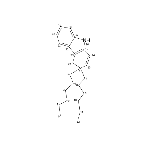 CCCCCCC1(CCCCCC)C=Cc2[nH]c3ccccc3c2C1